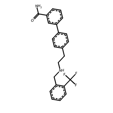 NC(=O)c1cccc(-c2ccc(CCNCc3ccccc3C(F)(F)F)cc2)c1